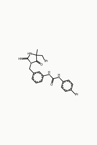 CC(C)CC1(C)NC(=N)N(Cc2cccc(NC(=O)Nc3ccc(C(C)C)cc3)c2)C1=O